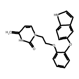 C=C1C=CN(CCOc2ccccc2Oc2ccc3[nH]ccc3c2)C(=O)N1